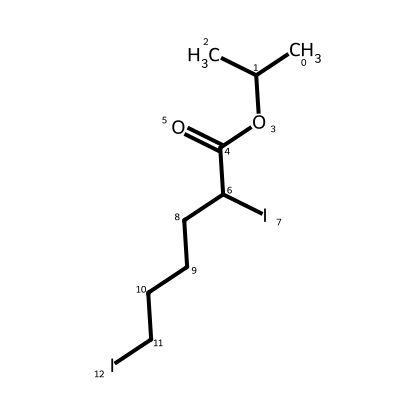 CC(C)OC(=O)C(I)CCCCI